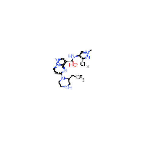 Cn1cc(NC(O)c2cnn3ccc(N4CCNCC4CC(F)(F)F)nc23)c(C(F)(F)F)n1